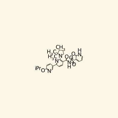 CC(C)Oc1ccc(-c2ccc(C(=O)NS(=O)(=O)c3ccc[nH]c3=O)c(N3CCC(C)C3(C)C)n2)cn1